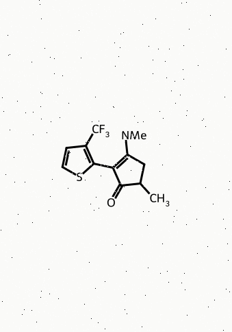 CNC1=C(c2sccc2C(F)(F)F)C(=O)C(C)C1